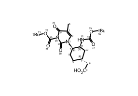 Cc1cn([C@@H]2CC[C@@H](CC(=O)O)C[C@@H]2NC(=O)OC(C)(C)C)c(=O)n(C(=O)OC(C)(C)C)c1=O